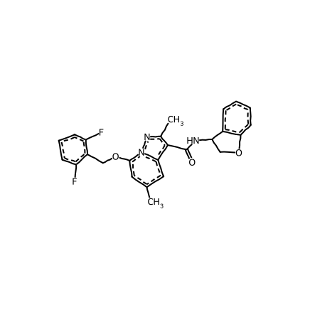 Cc1cc(OCc2c(F)cccc2F)n2nc(C)c(C(=O)NC3COc4ccccc43)c2c1